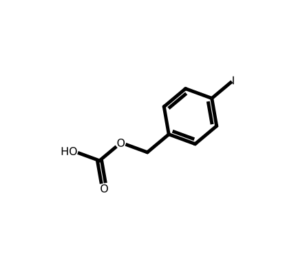 O=C(O)OCc1ccc(I)cc1